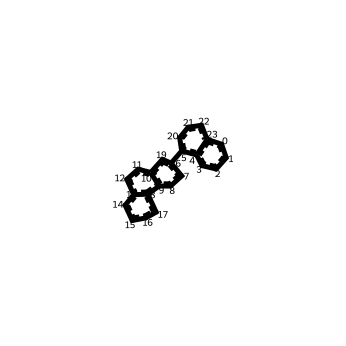 [c]1cccc2c(-c3ccc4c(ccc5ccccc54)c3)cccc12